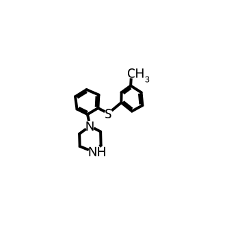 Cc1cccc(Sc2ccccc2N2CCNCC2)c1